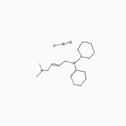 CN(C)CC=CCP(C1CCCCC1)C1CCCCC1.[Cl][Ni][Cl]